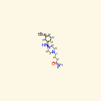 CN(C)C(=O)CCCN1CCN(Nc2cccc(C(C)(C)C)c2)CC1